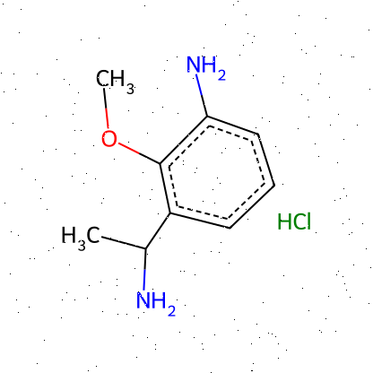 COc1c(N)cccc1C(C)N.Cl